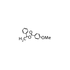 C=C(OC(=O)c1ccc(OC)cc1)c1ccccc1